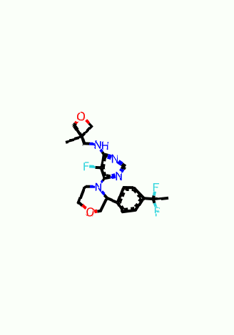 CC1(CNc2ncnc(N3CCOCC3c3ccc(C(C)(F)F)cc3)c2F)COC1